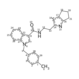 Cc1ccc(Cn2cc(C(=O)NCCc3nc4c(s3)CCC4)c3ccccc32)cc1